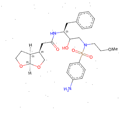 COCCN(CC(O)[C@H](Cc1ccccc1)NC(=O)C[C@H]1CO[C@H]2OCC[C@@H]12)S(=O)(=O)c1ccc(N)cc1